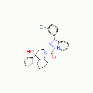 O=C(c1nc(-c2cccc(Cl)c2)c2ccccn12)N1CCC(O)(c2ccccc2)C2CCCCC21